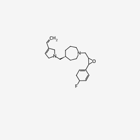 C=CC1=CCN(C[C@H]2CCCN(CC3OC3C3=CCC(F)C=C3)CC2)C1